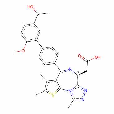 COc1ccc(C(C)O)cc1-c1ccc(C2=N[C@@H](CC(=O)O)c3nnc(C)n3-c3sc(C)c(C)c32)cc1